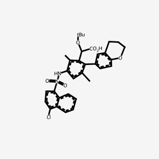 Cc1cc(NS(=O)(=O)c2ccc(Cl)c3ccccc23)c(C)c(C(OC(C)(C)C)C(=O)O)c1-c1ccc2c(c1)CCCO2